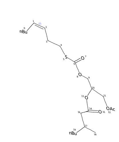 CCCC/C=C\CCSC(=O)OCC(COC(C)=O)OC(=O)CC(C)CCCC